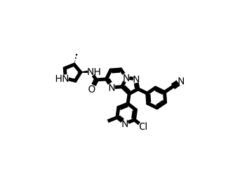 Cc1cc(-c2c(-c3cccc(C#N)c3)nn3ccc(C(=O)N[C@H]4CNC[C@@H]4C)nc23)cc(Cl)n1